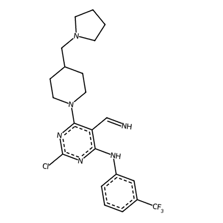 N=Cc1c(Nc2cccc(C(F)(F)F)c2)nc(Cl)nc1N1CCC(CN2CCCC2)CC1